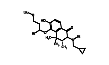 CCC(CCOC(C)(C)C)Oc1c(O)ccc2c1C(C)(C)[C@@H](C)C(N(CC)CC1CC1)C2=O